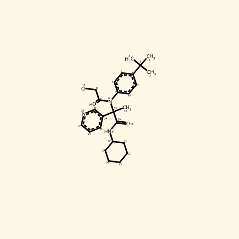 CC(C)(C)c1ccc(N(C(=O)CCl)C(C)(C(=O)NC2CCCCC2)c2cccnc2)cc1